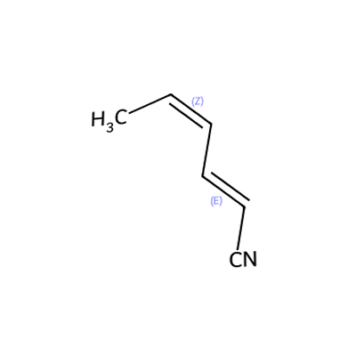 C/C=C\C=C\C#N